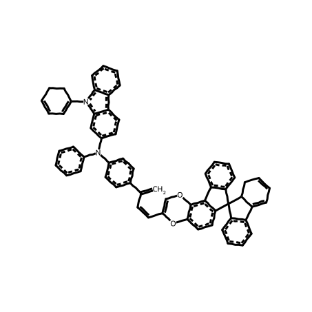 C=C(/C=C\C1=COc2c(ccc3c2-c2ccccc2C32c3ccccc3C3=CC=CCC32)O1)c1ccc(N(c2ccccc2)c2ccc3c4ccccc4n(C4=CC=CCC4)c3c2)cc1